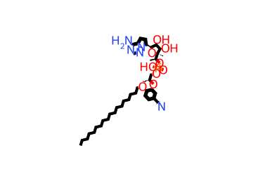 CCCCCCCCCCCCCCCCCCOC[C@H](COP(=O)(O)O[C@@H](C)[C@@]1(C)O[C@@H](c2ccc3c(N)ncnn23)[C@H](O)[C@@H]1O)Oc1cccc(C#N)c1